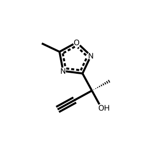 C#C[C@](C)(O)c1noc(C)n1